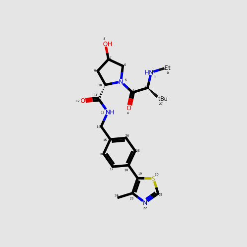 CCN[C@H](C(=O)N1CC(O)C[C@H]1C(=O)NCc1ccc(-c2scnc2C)cc1)C(C)(C)C